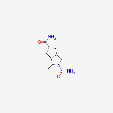 CC1C2CC(C(N)=O)CC2CN1C(N)=O